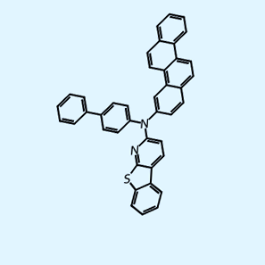 c1ccc(-c2ccc(N(c3ccc4ccc5c6ccccc6ccc5c4c3)c3ccc4c(n3)sc3ccccc34)cc2)cc1